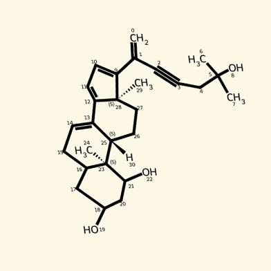 C=C(C#CCC(C)(C)O)C1=CC=C2C3=CCC4CC(O)CC(O)[C@]4(C)[C@H]3CC[C@]12C